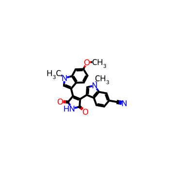 COc1ccc2c(C3=C(c4cn(C)c5cc(C#N)ccc45)C(=O)NC3=O)cn(C)c2c1